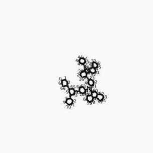 c1ccc(-c2cc(-c3ccccc3)cc(-c3ccc(N(c4cccc(-c5cccc6c5c5ccc7ccccc7c5n6-c5ccccc5)c4)c4cc5ccccc5c5ccccc45)cc3)c2)cc1